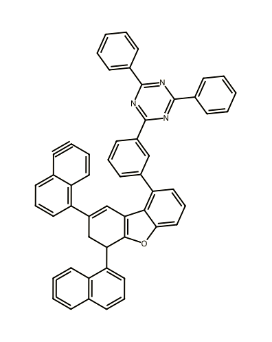 C1=C=Cc2c(cccc2C2CC(c3cccc4c#cccc34)=Cc3c2oc2cccc(-c4cccc(-c5nc(-c6ccccc6)nc(-c6ccccc6)n5)c4)c32)C=1